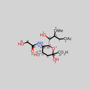 COC(COC(C)=O)C(O)[C@@H]1OC(O)(C(=O)O)C[C@H](O)[C@H]1NC(=O)CO